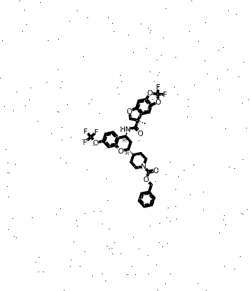 C[C@]1(C(=O)N[C@@H]2C[C@H](C3CCN(C(=O)OCc4ccccc4)CC3)Oc3cc(OC(F)(F)F)ccc32)COc2cc3c(cc21)OC(F)(F)O3